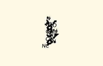 C=CC(=O)Nc1cc(Nc2ncc(Cl)c(N(CC3CC3)c3ccc(C#N)cc3N=C)n2)c(OC)cc1N(C)CCN(C)C